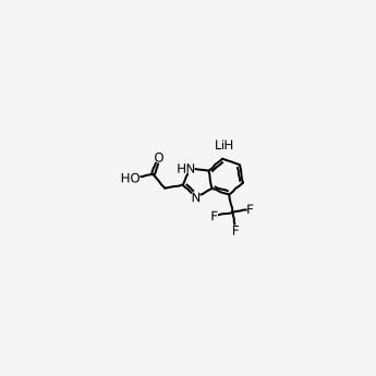 O=C(O)Cc1nc2c(C(F)(F)F)cccc2[nH]1.[LiH]